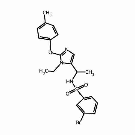 CCn1c(C(C)NS(=O)(=O)c2cccc(Br)c2)cnc1Oc1ccc(C)cc1